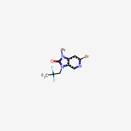 CC(C)n1c(=O)n(CC(F)(F)C(F)(F)F)c2cnc(Br)cc21